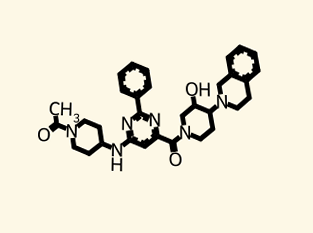 CC(=O)N1CCC(Nc2cc(C(=O)N3CCC(N4CCc5ccccc5C4)C(O)C3)nc(-c3ccccc3)n2)CC1